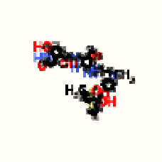 Cc1ccc(C(O)(C(=O)O[C@H]2CC[C@H](N(C)CCCn3nnc4cc(CNC[C@H](O)c5ccc(O)c6[nH]c(=O)ccc56)c5ccoc5c43)CC2)c2cccs2)s1